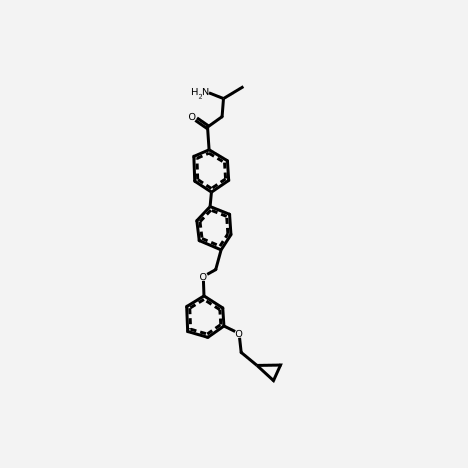 CC(N)CC(=O)c1ccc(-c2ccc(COc3cccc(OCC4CC4)c3)cc2)cc1